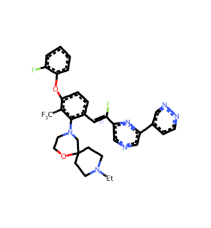 CCN1CCC2(CC1)CN(c1c(/C=C(\F)c3cncc(-c4ccnnc4)n3)ccc(Oc3ccccc3F)c1C(F)(F)F)CCO2